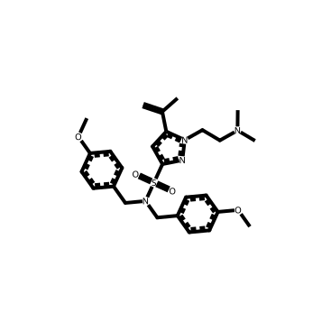 C=C(C)c1cc(S(=O)(=O)N(Cc2ccc(OC)cc2)Cc2ccc(OC)cc2)nn1CCN(C)C